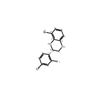 Fc1cc(Cl)ccc1[C@H]1COc2cccc(Br)c2O1